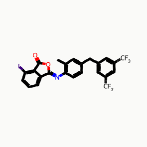 Cc1cc(Cc2cc(C(F)(F)F)cc(C(F)(F)F)c2)ccc1N=C1OC(=O)c2c(I)cccc21